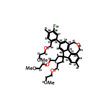 COCCOCCCC1(CCCOCCOC)c2cc(C)cc3c2-c2c(cc(-c4cc(F)c(C)cc4COCCOC)cc21)COC3